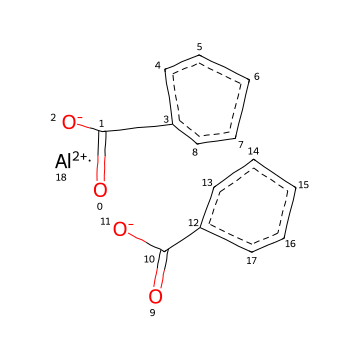 O=C([O-])c1ccccc1.O=C([O-])c1ccccc1.[Al+2]